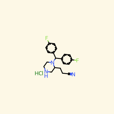 Cl.N#CCCC1CNCCN1C(c1ccc(F)cc1)c1ccc(F)cc1